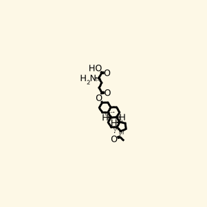 CC(=O)[C@H]1CC[C@H]2[C@@H]3CCC4CC(OC(=O)CC[C@H](N)C(=O)O)CC[C@]4(C)[C@H]3CC[C@]12C